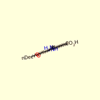 CCCCCCCCCCCCCCOC(=O)CCCCCCCCCCCCCNC(CCCCCCCCCCCCCC(=O)O)C(C)N